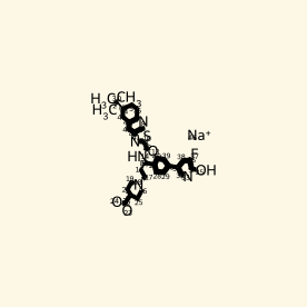 CC(C)(C)[C@H]1CCc2nc3sc(C(=O)N[C@H](CCN4CCC(C(=O)[O-])CC4)c4ccc(-c5cnc(O)c(F)c5)cc4)nc3cc2C1.[Na+]